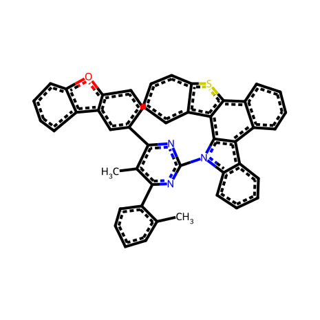 Cc1ccccc1-c1nc(-n2c3ccccc3c3c4ccccc4c4sc5ccccc5c4c32)nc(-c2ccc3oc4ccccc4c3c2)c1C